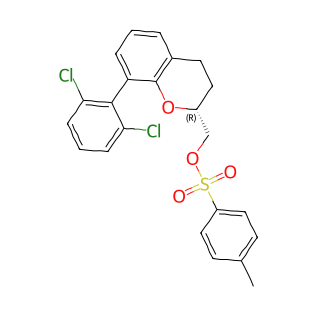 Cc1ccc(S(=O)(=O)OC[C@H]2CCc3cccc(-c4c(Cl)cccc4Cl)c3O2)cc1